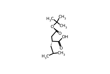 CC(C)C[C@H](CC(=O)OC(C)(C)C)C(=O)O